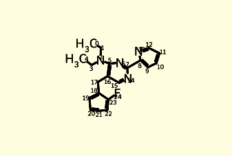 CCN(CC)c1nc(-c2ccccn2)ncc1Cc1ccccc1F